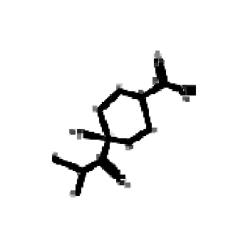 CC(C)C(=O)[C@]1(F)CC[C@@H](C(=O)O)CC1